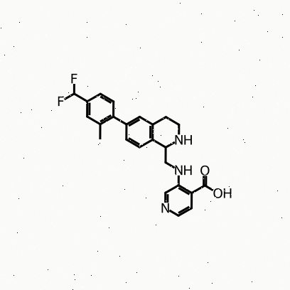 Cc1cc(C(F)F)ccc1-c1ccc2c(c1)CCNC2CNc1cnccc1C(=O)O